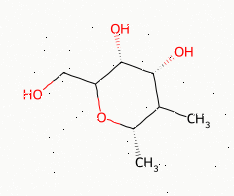 CC1[C@H](C)OC(CO)[C@H](O)[C@@H]1O